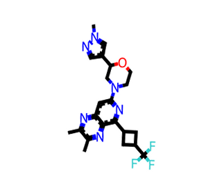 Cc1nc2cc(N3CCOC(c4cnn(C)c4)C3)nc(C3CC(C(F)(F)F)C3)c2nc1C